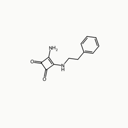 Nc1c(NCCc2ccccc2)c(=O)c1=O